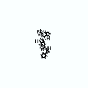 CC1(C)c2[nH]nc(Nc3nc(C(F)(F)F)nc4ccsc34)c2CN1C(=O)N[C@@H]1C[C@H]1c1ccccc1